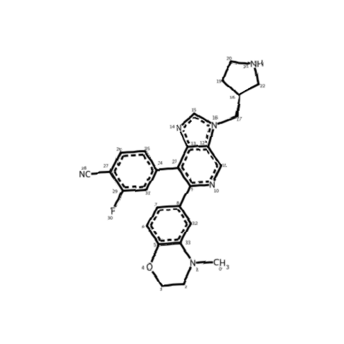 CN1CCOc2ccc(-c3ncc4c(ncn4C[C@H]4CCNC4)c3-c3ccc(C#N)c(F)c3)cc21